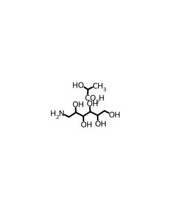 CC(O)C(=O)O.NCC(O)C(O)C(O)C(O)CO